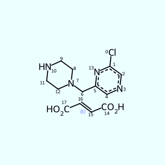 Clc1cncc(CN2CCNCC2)n1.O=C(O)/C=C/C(=O)O